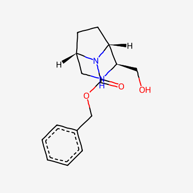 O=C(OCc1ccccc1)N1[C@H]2CC[C@@H]1[C@@H](CO)NC2